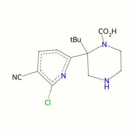 CC(C)(C)C1(c2ccc(C#N)c(Cl)n2)CNCCN1C(=O)O